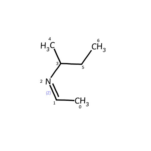 C/C=N\C(C)CC